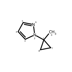 CC1(n2cccn2)CC1